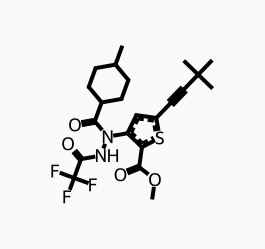 COC(=O)c1sc(C#CC(C)(C)C)cc1N(NC(=O)C(F)(F)F)C(=O)C1CCC(C)CC1